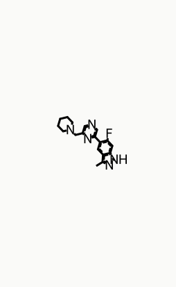 Cc1n[nH]c2cc(F)c(-c3cncc(CN4CCCCC4)n3)cc12